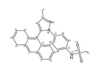 Cc1cc(-c2c3c(cc4ccccc24)CC=CC3)n(-c2ccc(NS(C)(=O)=O)cc2)n1